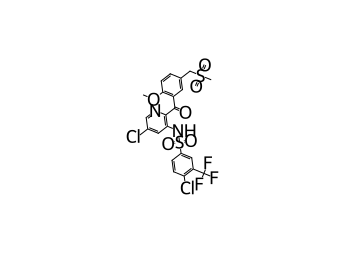 COc1ccc(CS(C)(=O)=O)cc1C(=O)c1ncc(Cl)cc1NS(=O)(=O)c1ccc(Cl)c(C(F)(F)F)c1